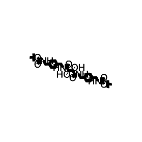 CC(C)(C)OC(=O)NCc1ccc(CNC(=O)[C@@H](O)[C@H](O)C(=O)NCc2ccc(CNC(=O)OC(C)(C)C)cc2)cc1